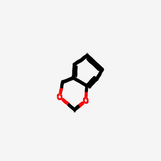 [c]1ccc2c(c1)CO[CH]O2